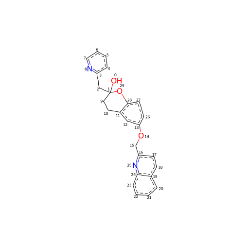 OC1(Cc2ccccn2)CCc2cc(OCc3ccc4ccccc4n3)ccc2O1